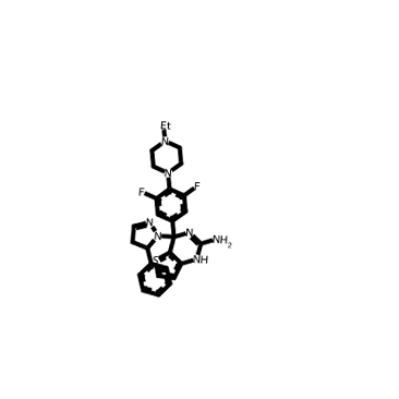 CCN1CCN(c2c(F)cc(C3(N4N=CCC4c4ccccc4)N=C(N)Nc4ccsc43)cc2F)CC1